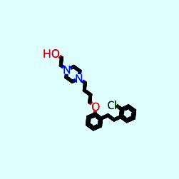 OCCN1CCN(CCCCOc2ccccc2CCc2ccccc2Cl)CC1